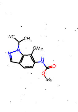 COc1c(NC(=O)OC(C)(C)C)ccc2cnn(C(C)C#N)c12